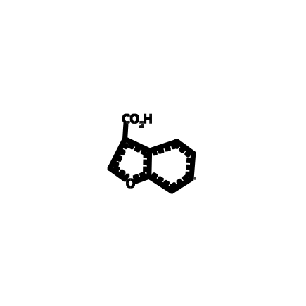 O=C(O)c1coc2c[c]ccc12